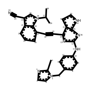 Cc1nccn1Cc1ccc(Nc2nc(C#Cc3cccc4c(C#N)cn(C(C)C)c34)c3cc[nH]c3n2)cc1